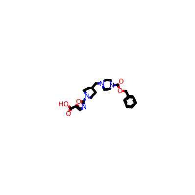 O=C(O)c1cnc(N2CCC(CN3CCN(C(=O)OCc4ccccc4)CC3)CC2)o1